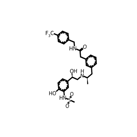 C[C@H](Cc1cccc(CC(=O)NCc2ccc(C(F)(F)F)cc2)c1)NC[C@H](O)c1ccc(O)c(NS(C)(=O)=O)c1